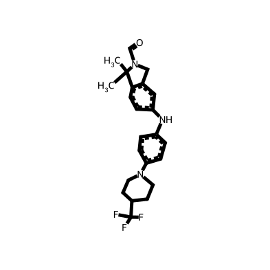 CC1(C)c2ccc(Nc3ccc(N4CCC(C(F)(F)F)CC4)cc3)cc2CN1C=O